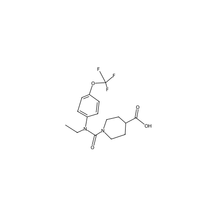 CCN(C(=O)N1CCC(C(=O)O)CC1)c1ccc(OC(F)(F)F)cc1